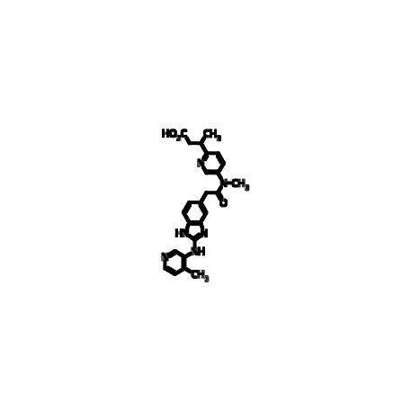 Cc1ccncc1Nc1nc2cc(CC(=O)N(C)c3ccc(C(C)CC(=O)O)nc3)ccc2[nH]1